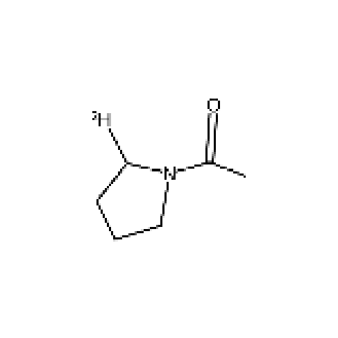 [2H]C1CCCN1C(C)=O